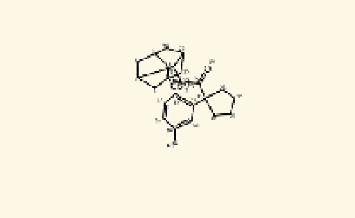 O=C(O)C12CC3CC(C1)C(NC(=O)C1(c4cccc(F)c4)CCCC1)C(C3)C2